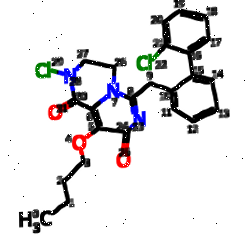 CCCCOc1c2n(c(Cc3ccccc3-c3ccccc3Cl)nc1=O)CCN(Cl)C2=O